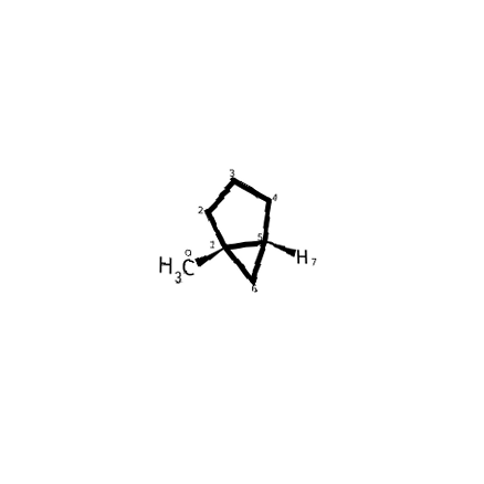 C[C@@]12CCC[C@@H]1C2